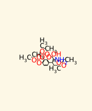 CCC(=O)OC(C)CC(c1ccc(OC(=O)OC(C)C)c(OC(=O)OC(C)C)c1)[C@H](N)C(=O)O